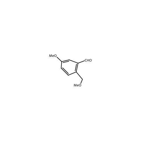 COCc1ccc(OC)cc1C=O